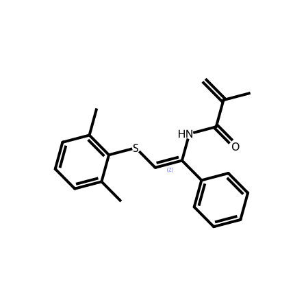 C=C(C)C(=O)N/C(=C\Sc1c(C)cccc1C)c1ccccc1